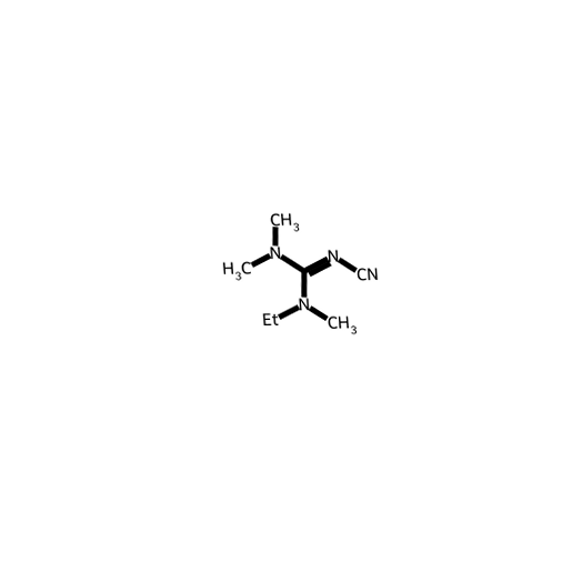 [CH2]CN(C)/C(=N\C#N)N(C)C